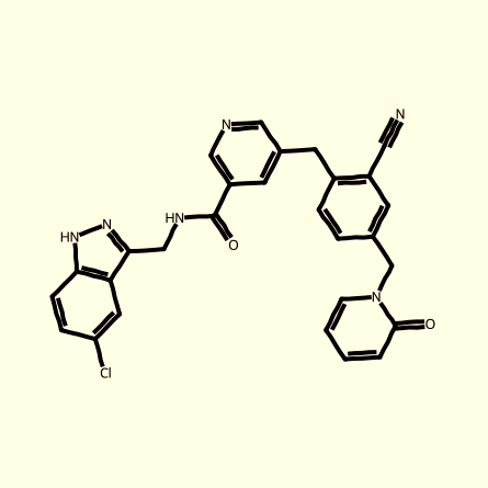 N#Cc1cc(Cn2ccccc2=O)ccc1Cc1cncc(C(=O)NCc2n[nH]c3ccc(Cl)cc23)c1